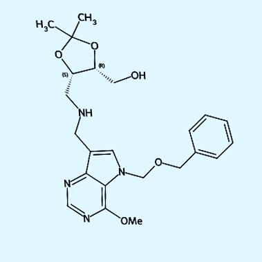 COc1ncnc2c(CNC[C@@H]3OC(C)(C)O[C@@H]3CO)cn(COCc3ccccc3)c12